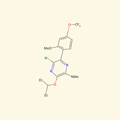 CCC(CC)Oc1nc(Br)c(-c2ccc(OC(F)(F)F)cc2OC)nc1NC